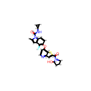 Cc1cc2c(F)c(Oc3ccnc4cc(C(=O)N5CCCC5O)sc34)ccc2n1C(=O)NC1CC1